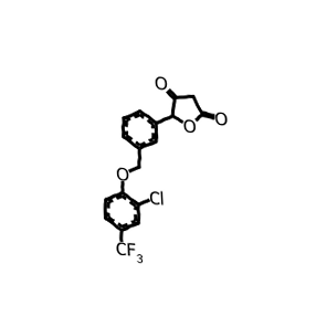 O=C1CC(=O)C(c2cccc(COc3ccc(C(F)(F)F)cc3Cl)c2)O1